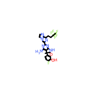 CC1(c2ccc(F)c(O)c2)C(=O)Nc2nc(-c3cn4ccnc4c(CCC(F)(F)C(F)(F)F)n3)nc(N)c21